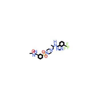 Cc1nc(-c2cccc(S(=O)(=O)N3CCN(CC(C)Nc4ncnc5c(C(F)(F)F)cccc45)CC3)c2)no1